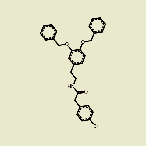 O=C(Cc1ccc(Br)cc1)NCCc1ccc(OCc2ccccc2)c(OCc2ccccc2)c1